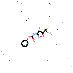 CC(C)(F)c1cc(NC(=O)Oc2ccccc2)no1